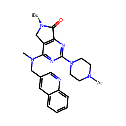 CC[C@H](C)N1Cc2c(nc(N3CCN(C(C)=O)CC3)nc2N(C)Cc2cnc3ccccc3c2)C1=O